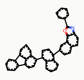 c1ccc(-c2nc3ccc4ccc(-c5ccc(-c6ccc7c8c(cccc68)-c6ccccc6-7)c6ccccc56)cc4c3o2)cc1